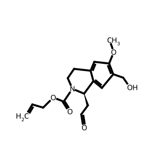 C=CCOC(=O)N1CCc2cc(OC)c(CO)cc2[C@H]1CC=O